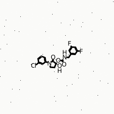 O=C(NCc1cc(F)cc(F)c1)O[C@@]1(O)CCN(c2cccc(Cl)c2)C1=O